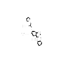 COc1cc2c(Nc3ccc(Cl)cc3F)ncnc2cc1OCC(O)CN1CC=CC1